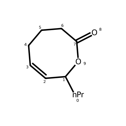 CCCC1/C=C\CCCC(=O)O1